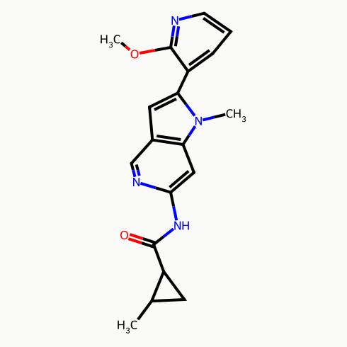 COc1ncccc1-c1cc2cnc(NC(=O)C3CC3C)cc2n1C